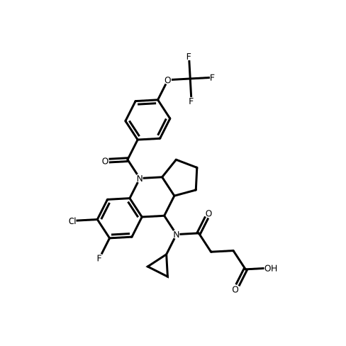 O=C(O)CCC(=O)N(C1CC1)C1c2cc(F)c(Cl)cc2N(C(=O)c2ccc(OC(F)(F)F)cc2)C2CCCC21